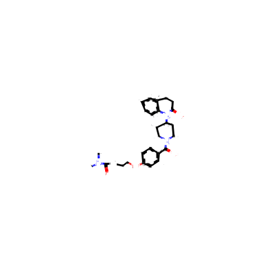 CN(C)C(=O)CCCOc1ccc(C(=O)N2CCC(N3C(=O)CCc4ccccc43)CC2)cc1